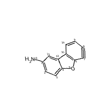 Nc1ccc2oc3c#cccc3c2c1